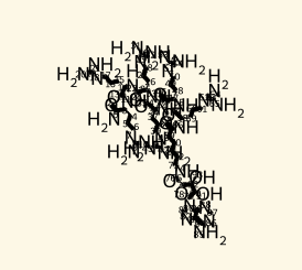 NC(=O)[C@H](CCCN=C(N)N)NC(=O)[C@H](CCCN=C(N)N)NC(=O)[C@H](CCCN=C(N)N)NC(=O)[C@H](CCCN=C(N)N)NC(=O)[C@H](CCCN=C(N)N)NC(=O)[C@H](CCCN=C(N)N)NC(=O)CCCCCNC(=O)[C@H]1O[C@@H](n2cnc3c(N)ncnc32)[C@H](O)[C@@H]1O